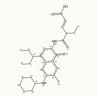 CCC(/C=C/C(=O)O)C(=O)Nc1cn(C(CC)CC)c2cc(NC3CCCCC3)c(F)cc2c1=O